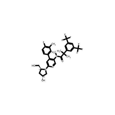 Cc1cc(-c2cc(N3C[C@H](O)C[C@H]3CO)ncc2N(C)C(=O)C(C)(C)c2cc(C(F)(F)F)cc(C(F)(F)F)c2)ccc1F